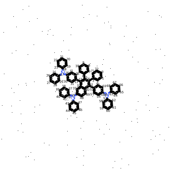 c1ccc(-c2c(-c3ccccc3)c(-c3ccc(N(c4ccccc4)c4ccccc4)cc3)c3cc(N(c4ccccc4)c4ccccc4)ccc3c2-c2ccc(N(c3ccccc3)c3ccccc3)cc2)cc1